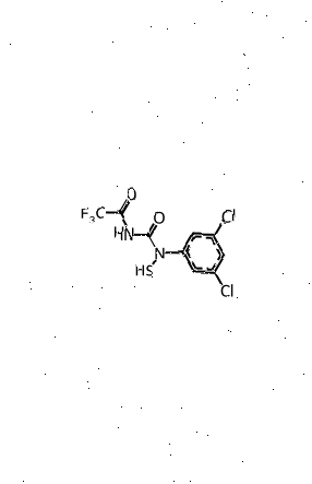 O=C(NC(=O)C(F)(F)F)N(S)c1cc(Cl)cc(Cl)c1